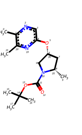 Cc1ncc(O[C@@H]2C[C@H](C)N(C(=O)OC(C)(C)C)C2)nc1C